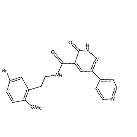 COc1ccc(Br)cc1CCNC(=O)c1cc(-c2ccncc2)n[nH]c1=O